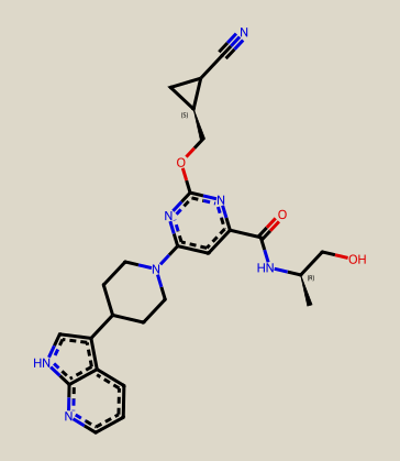 C[C@H](CO)NC(=O)c1cc(N2CCC(c3c[nH]c4ncccc34)CC2)nc(OC[C@H]2CC2C#N)n1